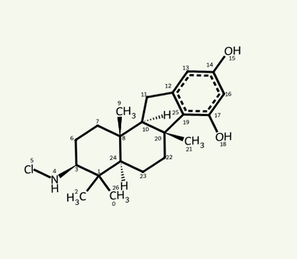 CC1(C)[C@@H](NCl)CC[C@]2(C)[C@H]3Cc4cc(O)cc(O)c4[C@]3(C)CC[C@@H]12